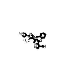 Cc1c(-c2cc(Sc3ccccc3C#N)c3c(C#N)cnn3c2)cnn1[C@@H]1CCNC1